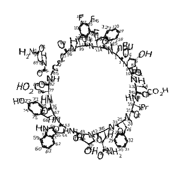 CCCC[C@H]1C(=O)N2C[C@H](O)C[C@@H]2C(=O)N[C@@H](CC(=O)O)C(=O)N[C@@H](C(C)C)C(=O)N(C)[C@@H](Cc2ccccc2)C(=O)N[C@@H](CCC(N)=O)C(=O)N2C[C@H](O)C[C@H]2C(=O)N[C@@H](Cc2c[nH]c3ccccc23)C(=O)N[C@@H](Cc2ccc(O)cc2)C(=O)N[C@@H](CC(=O)O)C(=O)N[C@H](C(=O)NCC(N)=O)CSCC(=O)N[C@@H](Cc2cc(F)c(F)c(F)c2)C(=O)N(C)[C@@H](Cc2ccccc2)C(=O)N1C